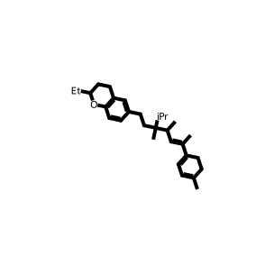 CCC1CCc2cc(CCC(C)(C(C)C)C(C)/C=C(\C)C3=CC=C(C)CC3)ccc2O1